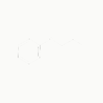 FCCOc1c[c]ccc1